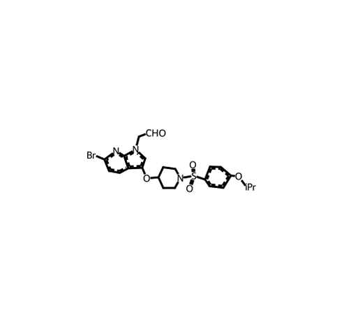 CC(C)Oc1ccc(S(=O)(=O)N2CCC(Oc3cn(CC=O)c4nc(Br)ccc34)CC2)cc1